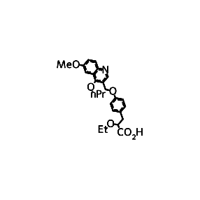 CCCOc1c(COc2ccc(CC(OCC)C(=O)O)cc2)cnc2ccc(OC)cc12